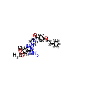 COc1cc2nc(N3CCN(C(=O)c4ccc(OCCCc5ccccc5)cc4)CC3)nc(N)c2cc1OC